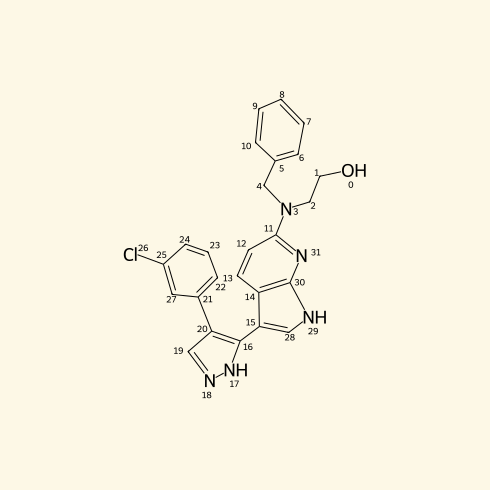 OCCN(Cc1ccccc1)c1ccc2c(-c3[nH]ncc3-c3cccc(Cl)c3)c[nH]c2n1